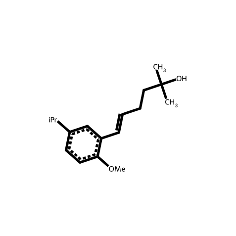 COc1ccc(C(C)C)cc1/C=C/CCC(C)(C)O